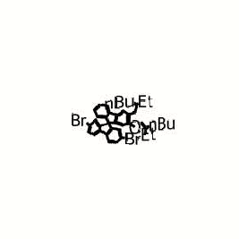 CCCCC(CC)COc1cc2c(cc1CC(CC)CCCC)-c1ccccc1C21c2cc(Br)ccc2-c2ccc(Br)cc21